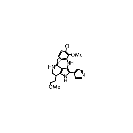 COCCC1CNC(=O)c2c1[nH]c(-c1ccncc1)c2Nc1cccc(Cl)c1OC